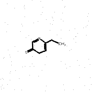 C[CH]C1=CCC(=O)C=N1